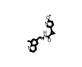 COc1ccc(C2CC2C(=O)NN=Cc2cc(C)c3ncccc3c2)cn1